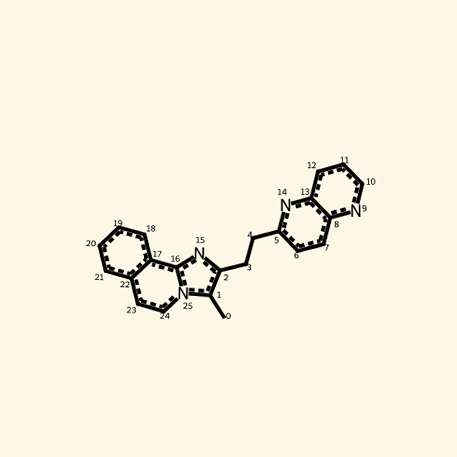 Cc1c(CCc2ccc3ncccc3n2)nc2c3ccccc3ccn12